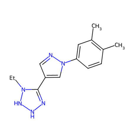 CCN1NNN=C1c1cnn(-c2ccc(C)c(C)c2)c1